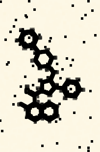 Cc1ccc2ccccc2c1C(=O)N1CC(CN2CCC(c3ccccc3)CC2)C(c2ccccc2)C1